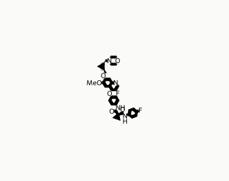 COc1cc2c(Oc3ccc(NC(=O)C4(C(=O)Nc5ccc(F)cc5)CC4)cc3F)ccnc2cc1OC[C@H]1C[C@@H]1CN1CCOCC1